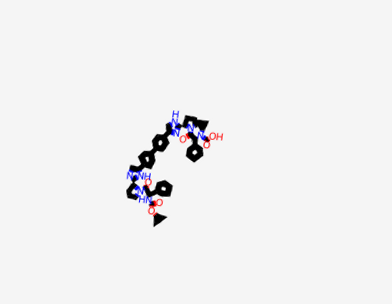 O=C(N[C@@H](C(=O)N1CCC[C@H]1c1ncc(-c2ccc(-c3ccc(-c4c[nH]c([C@@H]5CCCN5C(=O)[C@@H](c5ccccc5)N(C(=O)O)C5CC5)n4)cc3)cc2)[nH]1)c1ccccc1)OC1CC1